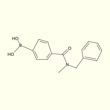 CN(Cc1ccccc1)C(=O)c1ccc(B(O)O)cc1